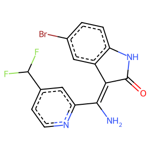 N/C(=C1\C(=O)Nc2ccc(Br)cc21)c1cc(C(F)F)ccn1